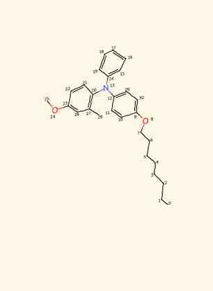 CCCCCCCCOc1ccc(N(c2ccccc2)c2ccc(OC)cc2C)cc1